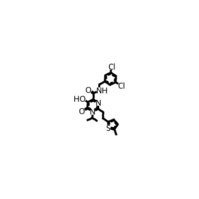 Cc1ccc(CCc2nc(C(=O)NCc3cc(Cl)cc(Cl)c3)c(O)c(=O)n2C(C)C)s1